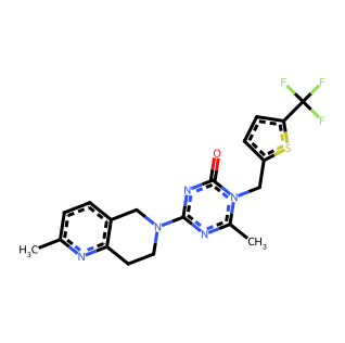 Cc1ccc2c(n1)CCN(c1nc(C)n(Cc3ccc(C(F)(F)F)s3)c(=O)n1)C2